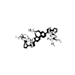 CN1Cc2cc(-c3cnc(C4CCCN4C(=O)OC(C)(C)C)[nH]3)ccc2-c2ccc(-c3cnc(C4CCCN4C(=O)OC(C)(C)C)[nH]3)cc2C1